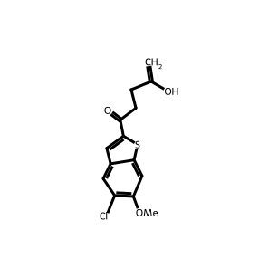 C=C(O)CCC(=O)c1cc2cc(Cl)c(OC)cc2s1